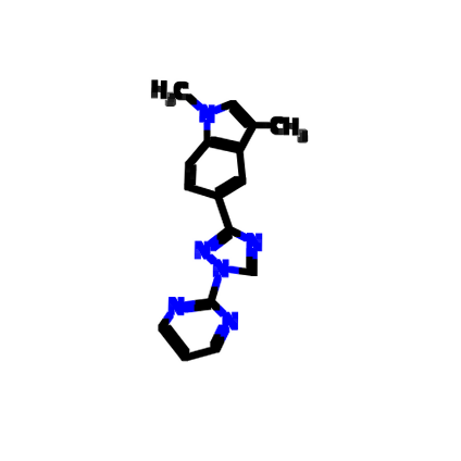 Cc1cn(C)c2ccc(-c3ncn(-c4ncccn4)n3)cc12